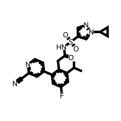 CC(C)c1cc(F)cc(-c2ccnc(C#N)c2)c1CC(=O)NS(=O)(=O)c1cnn(C2CC2)c1